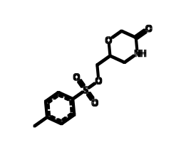 Cc1ccc(S(=O)(=O)OCC2CNC(=O)CO2)cc1